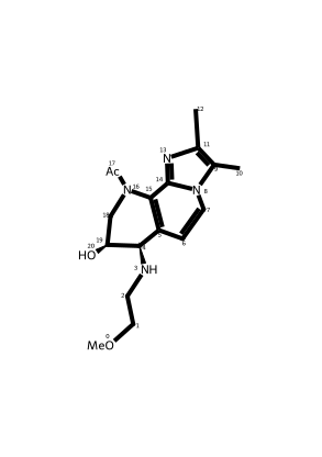 COCCN[C@@H]1c2ccn3c(C)c(C)nc3c2N(C(C)=O)C[C@@H]1O